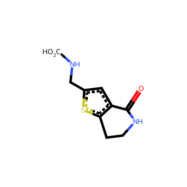 O=C(O)NCc1cc2c(s1)CCNC2=O